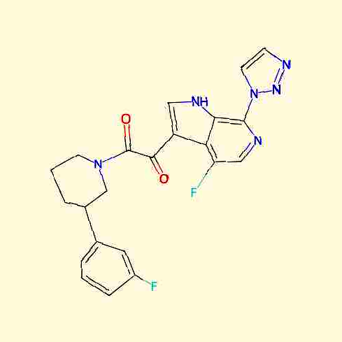 O=C(C(=O)N1CCCC(c2cccc(F)c2)C1)c1c[nH]c2c(-n3ccnn3)ncc(F)c12